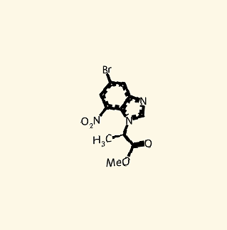 COC(=O)[C@@H](C)n1cnc2cc(Br)cc([N+](=O)[O-])c21